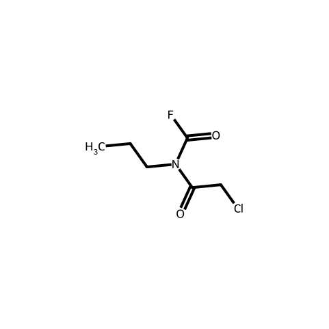 CCCN(C(=O)F)C(=O)CCl